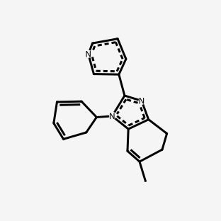 CC1=Cc2c(nc(-c3cccnc3)n2C2C=CC=CC2)CC1